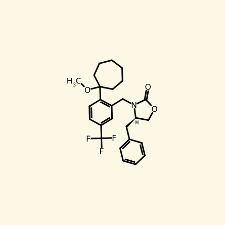 COC1(c2ccc(C(F)(F)F)cc2CN2C(=O)OC[C@H]2Cc2ccccc2)CCCCCC1